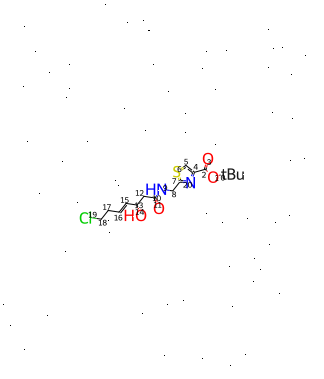 CC(C)(C)OC(=O)c1csc(CNC(=O)CC(O)/C=C/CCCl)n1